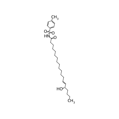 CCCC[C@@H](O)C=CCCCCCCCCCCCCC(=O)NS(=O)(=O)c1ccc(C)cc1